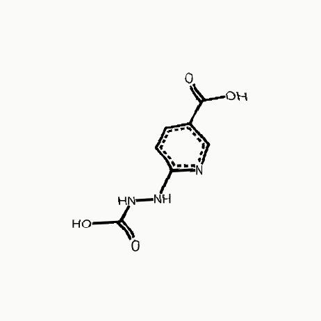 O=C(O)NNc1ccc(C(=O)O)cn1